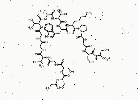 C[C@H](NC(=O)[C@@H](NC(=O)CNC(=O)CNC(=O)[C@@H](NC(=O)CNC(=O)[C@H](CO)NC(=O)[C@H](CO)NC(=O)CN)[C@@H](C)O)[C@@H](C)O)C(=O)N[C@H](C(=O)N[C@@H](Cc1c[nH]c2ccccc12)C(=O)N[C@@H](CCCCN)C(=O)N1CCC[C@H]1C(=O)NCC(=O)N[C@@H](CO)C(=O)N[C@@H](CO)C(=O)O)[C@@H](C)O